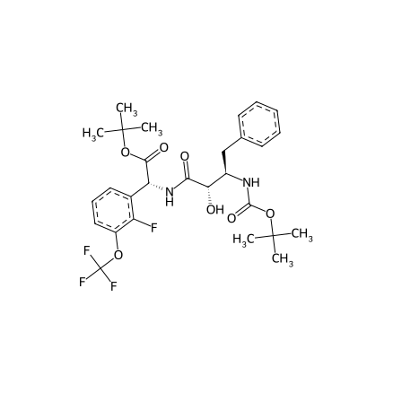 CC(C)(C)OC(=O)N[C@H](Cc1ccccc1)[C@H](O)C(=O)N[C@@H](C(=O)OC(C)(C)C)c1cccc(OC(F)(F)F)c1F